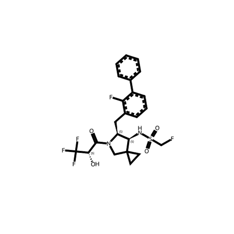 O=C([C@H](O)C(F)(F)F)N1CC2(CC2)[C@H](NS(=O)(=O)CF)[C@@H]1Cc1cccc(-c2ccccc2)c1F